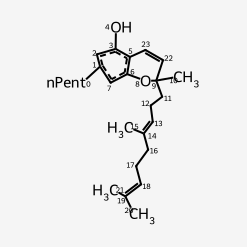 CCCCCc1cc(O)c2c(c1)OC(C)(CC/C=C(\C)CCC=C(C)C)C=C2